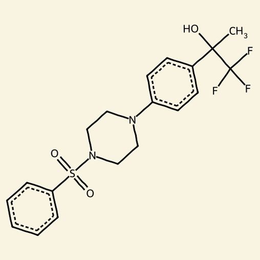 CC(O)(c1ccc(N2CCN(S(=O)(=O)c3ccccc3)CC2)cc1)C(F)(F)F